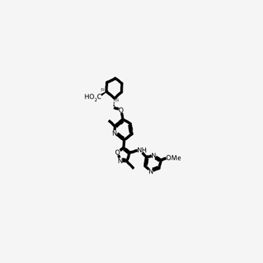 COc1cncc(Nc2c(C)noc2-c2ccc(OC[C@H]3CCCC[C@@H]3C(=O)O)c(C)n2)n1